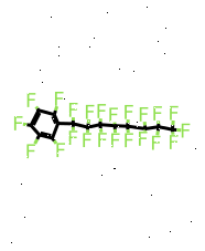 Fc1c(F)c(F)c(C(F)(F)C(F)(F)C(F)(F)C(F)(F)C(F)(F)C(F)(F)C(F)(F)C(F)(F)F)c(F)c1F